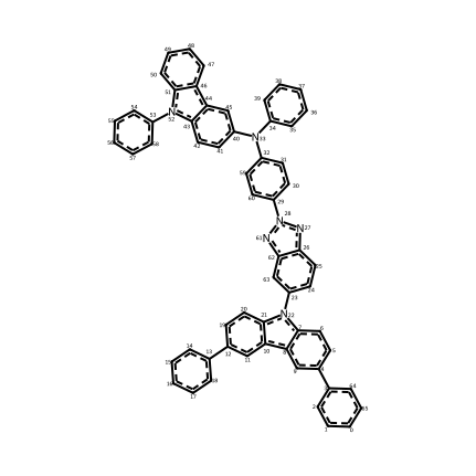 c1ccc(-c2ccc3c(c2)c2cc(-c4ccccc4)ccc2n3-c2ccc3nn(-c4ccc(N(c5ccccc5)c5ccc6c(c5)c5ccccc5n6-c5ccccc5)cc4)nc3c2)cc1